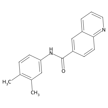 Cc1ccc(NC(=O)c2ccc3ncccc3c2)cc1C